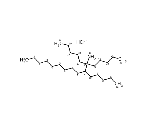 CCCCCCCCCC(CCCCC)C(N)(CCCCC)CCCCC.Cl